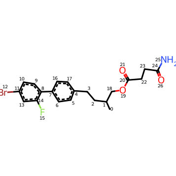 CC(CCc1ccc(-c2ccc(Br)cc2F)cc1)COC(=O)CCC(N)=O